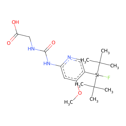 COc1cc(NC(=O)NCC(=O)O)ncc1[Si](F)(C(C)(C)C)C(C)(C)C